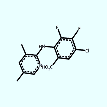 Cc1cnc(Nc2c(C(=O)O)cc(Cl)c(F)c2F)c(C)c1